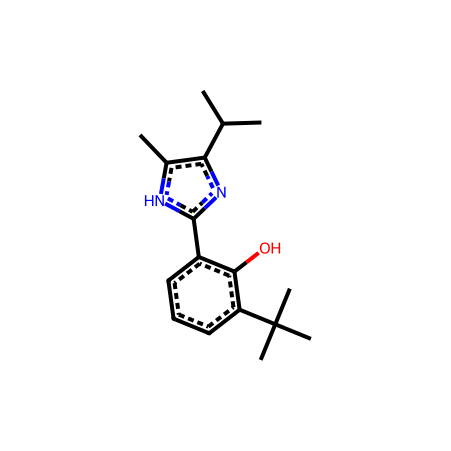 Cc1[nH]c(-c2cccc(C(C)(C)C)c2O)nc1C(C)C